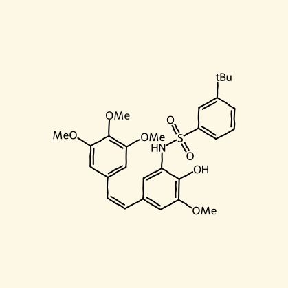 COc1cc(/C=C\c2cc(OC)c(OC)c(OC)c2)cc(NS(=O)(=O)c2cccc(C(C)(C)C)c2)c1O